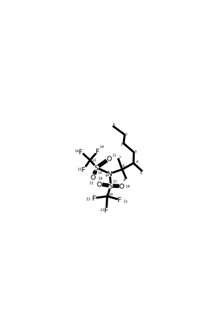 CCCCC(C)C(C)(C)N(S(=O)(=O)C(F)(F)F)S(=O)(=O)C(F)(F)F